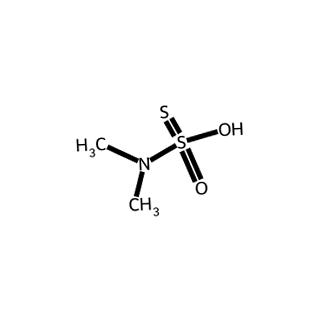 CN(C)S(=O)(O)=S